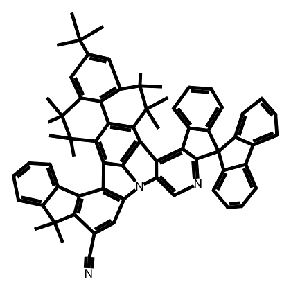 CC(C)(C)c1cc2c3c(c1)C(C)(C)C(C)(C)c1c-3c(c3c4c5c(ncc4n4c6cc(C#N)c7c(c6c1c34)-c1ccccc1C7(C)C)C1(c3ccccc3-c3ccccc31)c1ccccc1-5)C(C)(C)C2(C)C